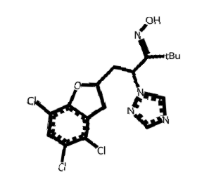 CC(C)(C)C(=NO)C(CC1Cc2c(Cl)c(Cl)cc(Cl)c2O1)n1cncn1